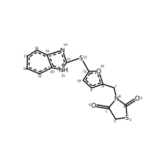 O=C1CSC(=O)N1Cc1ccc(Sc2nc3ccccc3[nH]2)o1